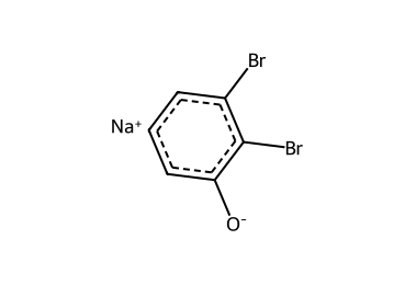 [Na+].[O-]c1cccc(Br)c1Br